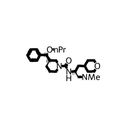 C[CH]CO[C@@H](c1ccccc1)[C@@H]1CCCN(C(=O)N[C@H](CNC)CC2CCOCC2)C1